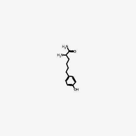 NC(=O)C(N)CCCCc1ccc(O)cc1